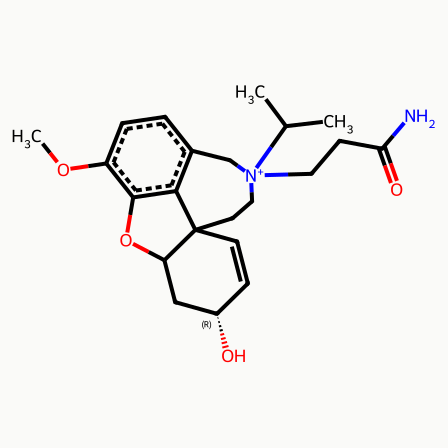 COc1ccc2c3c1OC1C[C@@H](O)C=CC31CC[N+](CCC(N)=O)(C(C)C)C2